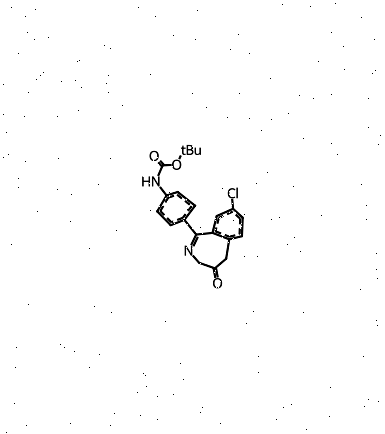 CC(C)(C)OC(=O)Nc1ccc(C2=NCC(=O)Cc3ccc(Cl)cc32)cc1